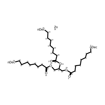 CCCCCCCCCCCCCCCCCC(=O)OCC(COC(=O)CCCCCCCCCCCCCCCCC)OC(=O)CCCCCCCCCCCCCCCCC.[Zn]